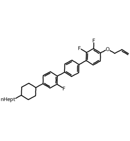 C=CCOc1ccc(-c2ccc(-c3ccc(C4CCC(CCCCCCC)CC4)cc3F)cc2)c(F)c1F